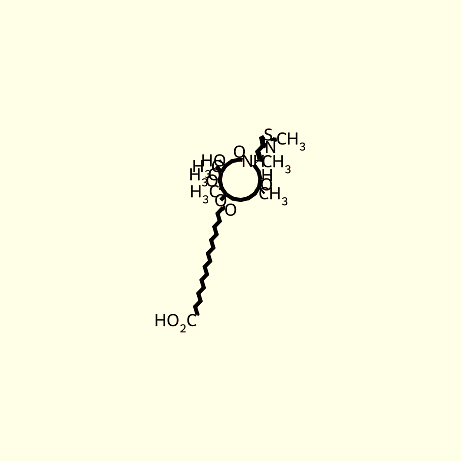 C/C(=C\c1csc(C)n1)[C@@H]1C[C@@H]2O[C@]2(C)CCCCC(OC(=O)CCCCCCCCCCCCCCCCC(=O)O)[C@@H](C)C(=O)C(C)(C)[C@@H](O)CC(=O)N1